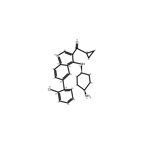 N[C@H]1CC[C@@H](Nc2c(C(=O)C3CC3)cnc3ccc(-c4ccccc4Cl)cc23)CC1